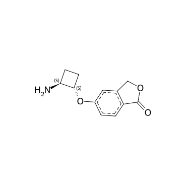 N[C@H]1CC[C@@H]1Oc1ccc2c(c1)COC2=O